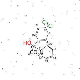 O=C(O)C(O)(C1=CCC(Cl)(Cl)C=C1)c1ccccc1